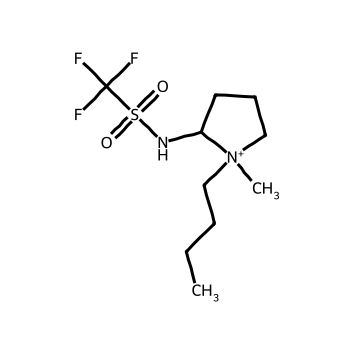 CCCC[N+]1(C)CCCC1NS(=O)(=O)C(F)(F)F